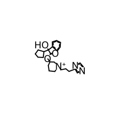 C[N+]1(CCCc2cnccn2)CCCC(OC(=O)C(O)(c2ccccc2)C2CCCC2)C1